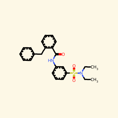 CCN(CC)S(=O)(=O)c1cccc(NC(=O)c2ccccc2Cc2ccccc2)c1